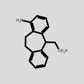 Nc1cccc2c1CCc1ccccc1C2CC(=O)O